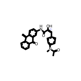 C=C1c2ccccc2C(=O)c2cc(NC(=O)/C(O)=C\c3ccc(N(C)C(C)=O)cc3)ccc21